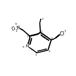 Cc1c(Cl)ccnc1[N+](=O)[O-]